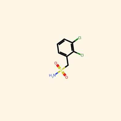 NS(=O)(=O)Cc1cccc(Cl)c1Cl